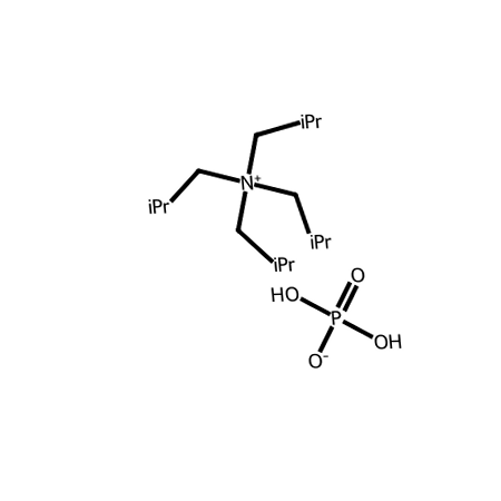 CC(C)C[N+](CC(C)C)(CC(C)C)CC(C)C.O=P([O-])(O)O